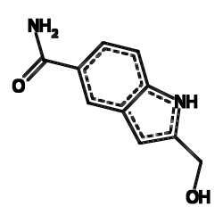 NC(=O)c1ccc2[nH]c(CO)cc2c1